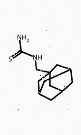 NC(=S)NCC12CC3CC(CC(C3)C1)C2